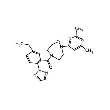 CCc1ccc(-n2nccn2)c(C(=O)N2CCON(c3cc(C)nc(C)n3)CC2)c1